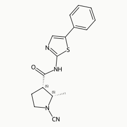 C[C@H]1[C@@H](C(=O)Nc2ncc(-c3ccccc3)s2)CCN1C#N